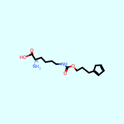 N[C@@H](CCCCNC(=O)OCCCC1=CC=CC1)C(=O)O